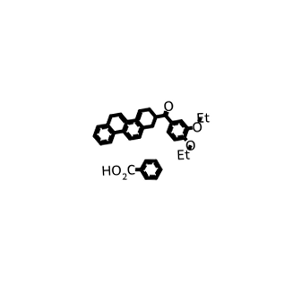 CCOc1ccc(C(=O)C2CC=c3c(ccc4c3=CCc3ccccc3-4)C2)cc1OCC.O=C(O)c1ccccc1